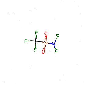 O=S(=O)(N(F)F)C(F)(F)F